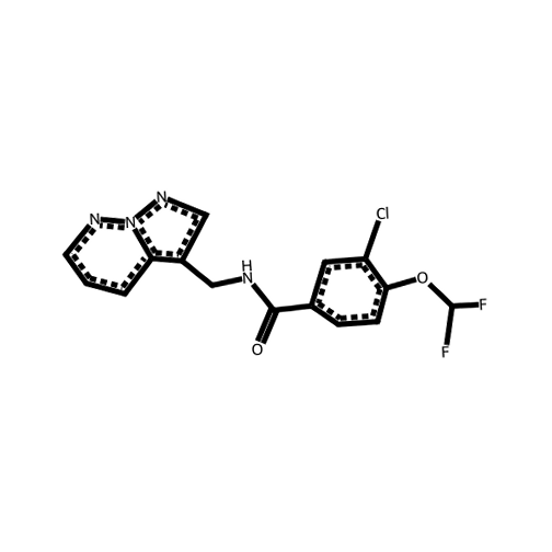 O=C(NCc1cnn2ncccc12)c1ccc(OC(F)F)c(Cl)c1